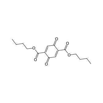 CCCCOC(=O)C1=CC(=O)C(C(=O)OCCCC)=CC1=O